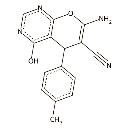 Cc1ccc(C2C(C#N)=C(N)Oc3ncnc(O)c32)cc1